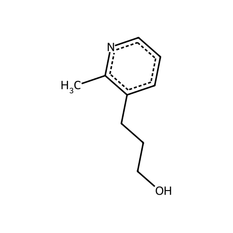 Cc1ncccc1CCCO